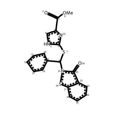 COC(=O)c1c[nH]c(SC(c2ccccc2)n2sc3ccccc3c2=O)n1